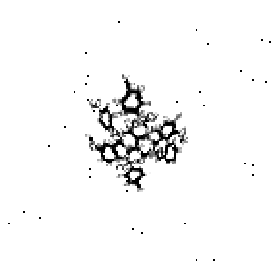 COc1ccc(NC(=O)C(C(C(=O)NCc2ccccc2)n2c(=O)c3cc(OC)ccc3n2S(=O)(=O)c2ccc(C)cc2)n2c(=O)c3cc(OC)ccc3n2S(=O)(=O)c2ccc(C)cc2)cc1